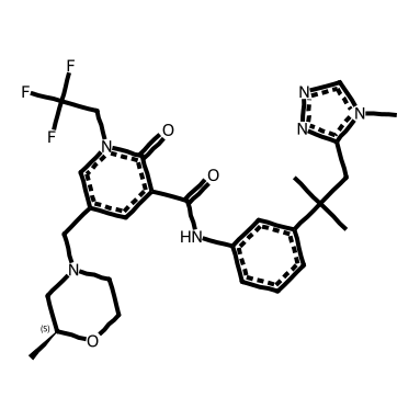 C[C@H]1CN(Cc2cc(C(=O)Nc3cccc(C(C)(C)Cc4nncn4C)c3)c(=O)n(CC(F)(F)F)c2)CCO1